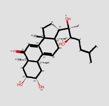 CC(C)CC[C@@H](O)[C@](C)(O)[C@H]1CC[C@H]2C3=CC(=O)[C@@H]4C[C@@H](O)[C@@H](O)C[C@]4(C)C3=CC[C@]12C